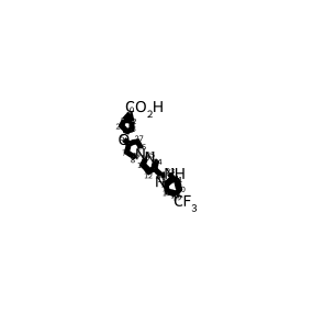 O=C(O)C1C2CC(OC3CCN(c4ccc(-c5nc6cc(C(F)(F)F)ccc6[nH]5)cn4)CC3)CC21